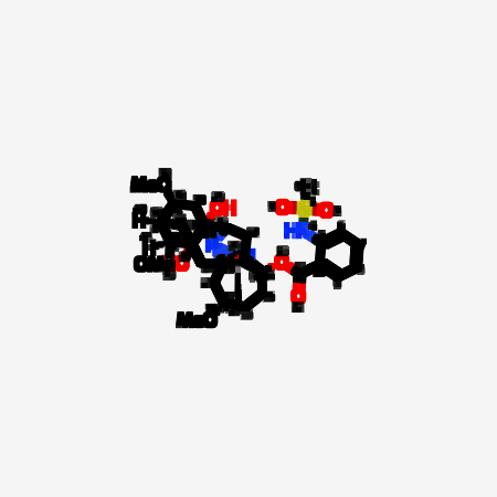 CCS(=O)(=O)Nc1ccccc1C(=O)O[C@@]12CC[C@H](OC)CC34C1CC(N3N[C@H]2C)[C@@]1(O)C[C@H](OC)[C@H]2CC4[C@]1(O)[C@H]2OC